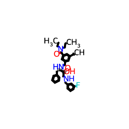 C#Cc1cc(C(=O)N[C@@H](Cc2ccccc2)[C@H](O)CNCc2cccc(F)c2)cc(C(=O)N(CCC)CCC)c1